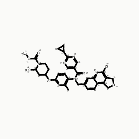 Cc1nc(OC2CCN(C(=O)OC(C)(C)C)C(C(F)(F)F)C2)ccc1N(Cc1ccc2c3c(c(Cl)nc2c1)COC3)C(=O)c1cnc(C2CC2)nc1